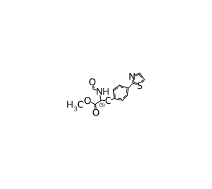 COC(=O)[C@H](Cc1ccc(-c2nccs2)cc1)NC=O